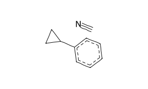 C#N.c1ccc(C2CC2)cc1